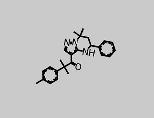 Cc1ccc(C(C)(C)C(=O)c2cnn3c2NC(c2ccccc2)CC3(C)C)cc1